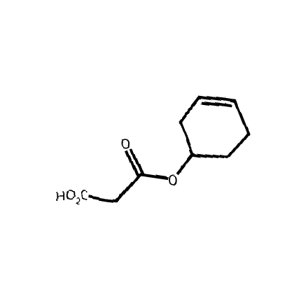 O=C(O)CC(=O)OC1CC=CCC1